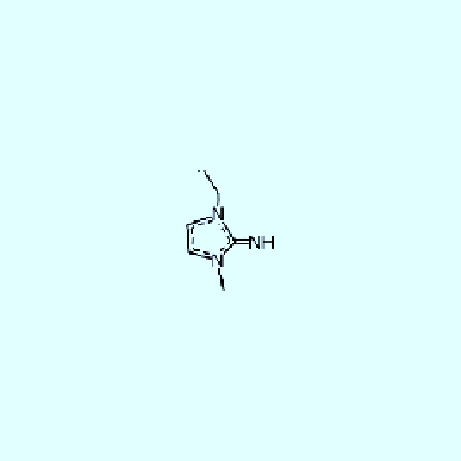 [CH2]Cn1ccn(C)c1=N